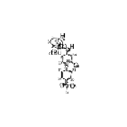 CC(C)(C)[C@@]12CC[C@@H](C[C@@H](Oc3ccn(-c4ccc(S(C)(=O)=O)cc4)c(=O)c3)C1)N2C(=O)O